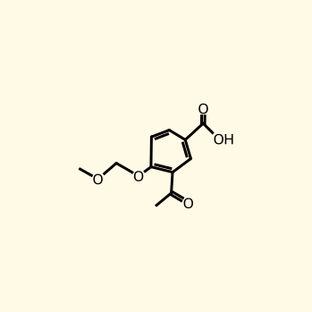 COCOc1ccc(C(=O)O)cc1C(C)=O